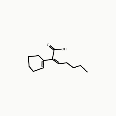 CCCCC=C(C(=O)O)C1=CCCCC1